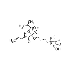 C=CCNC(=O)C(OCCCCC(F)(F)C(F)(F)S(=O)(=O)O)(OC(=O)C(=C)C)C(F)(F)F